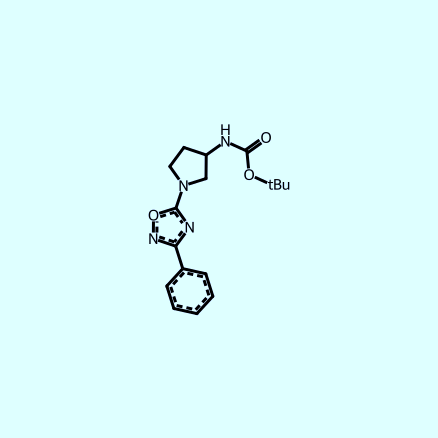 CC(C)(C)OC(=O)NC1CCN(c2nc(-c3ccccc3)no2)C1